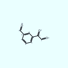 O=[C]C(=O)c1cccc([C]=O)c1